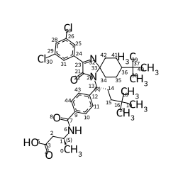 C[C@@H](CC(=O)O)NC(=O)c1ccc([C@@H](CCC(C)(C)C)N2C(=O)C(c3cc(Cl)cc(Cl)c3)=NC23CCC(C(C)(C)C)CC3)cc1